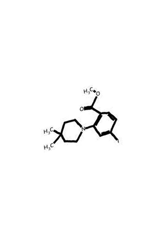 COC(=O)c1ccc(I)cc1N1CCC(C)(C)CC1